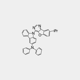 CC(C)c1ccc2oc3c(-n4c5ccccc5c5cc(N(c6ccccc6)c6ccccc6)ccc54)ncnc3c2c1